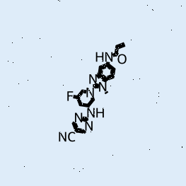 C=CC(=O)Nc1ccc2c(c1)nc(N1CC(F)C[C@@H](Nc3ncc(C#N)cn3)C1)n2C